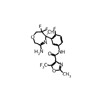 Cc1nc(C(=O)Nc2ccc(F)c([C@@]3(C)N=C(N)COCC3(F)F)c2)c(C(F)(F)F)o1